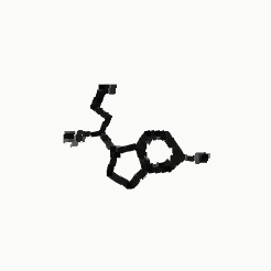 CC(CC=N)N1CCc2cc(Br)ccc21